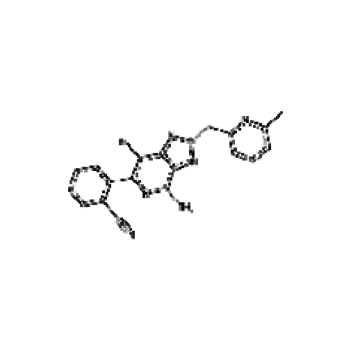 Cc1cccc(Cn2nc3c(N)nc(-c4ccccc4C#N)c(Br)c3n2)n1